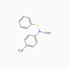 O=CN(Sc1ccccc1)c1ccc([N+](=O)[O-])cc1